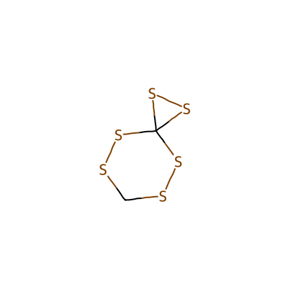 C1SSC2(SS1)SS2